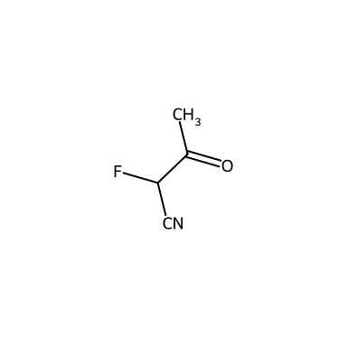 CC(=O)C(F)C#N